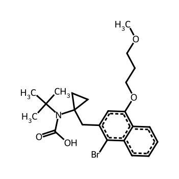 COCCCOc1cc(CC2(N(C(=O)O)C(C)(C)C)CC2)c(Br)c2ccccc12